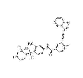 CCC1(CC)CNCCN1C(C)(CC)c1ccc(NC(=O)c2ccc(C)c(C#Cc3cnc4cccnn34)c2)cc1C(F)(F)F